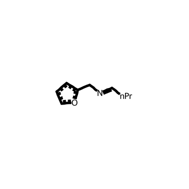 C[CH]CC=NCc1ccco1